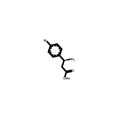 COC(=O)C[C@H](N)c1ccc(Br)cc1